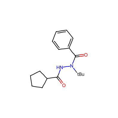 CC(C)(C)N(NC(=O)C1CCCC1)C(=O)c1ccccc1